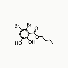 CCCCOC(=O)c1c(O)c(O)cc(Br)c1Br